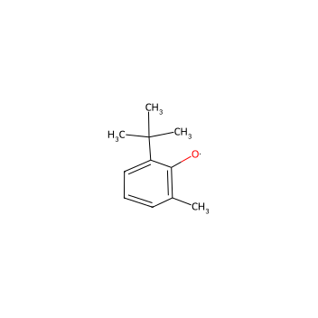 Cc1cccc(C(C)(C)C)c1[O]